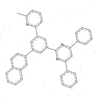 Cc1cccc(-c2cc(-c3ccc4ccccc4c3)cc(-c3nc(-c4ccccc4)cc(-c4ccccc4)n3)c2)n1